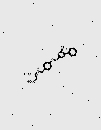 Cc1sc(COc2ccc(CN[C@H](CC(=O)O)C(=O)O)cc2)cc1-c1ccccc1